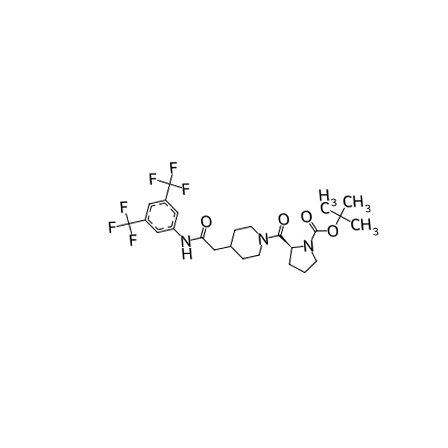 CC(C)(C)OC(=O)N1CCC[C@H]1C(=O)N1CCC(CC(=O)Nc2cc(C(F)(F)F)cc(C(F)(F)F)c2)CC1